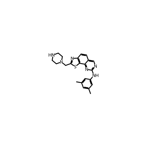 Cc1cc(C)cc(Nc2ncc3ccc4nc(CN5CCNCC5)sc4c3n2)c1